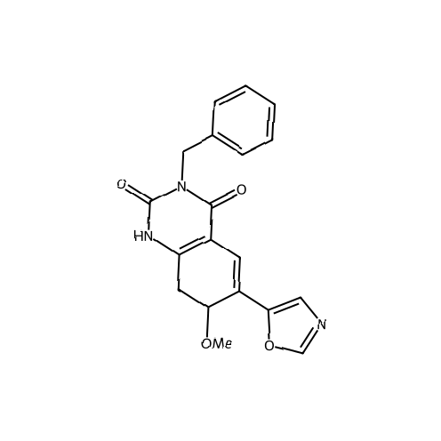 COC1Cc2[nH]c(=O)n(Cc3ccccc3)c(=O)c2C=C1c1cnco1